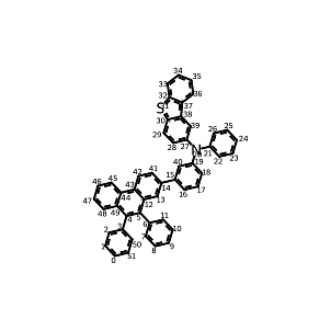 c1ccc(-c2c(-c3ccccc3)c3cc(-c4cccc(N(c5ccccc5)c5ccc6sc7ccccc7c6c5)c4)ccc3c3ccccc23)cc1